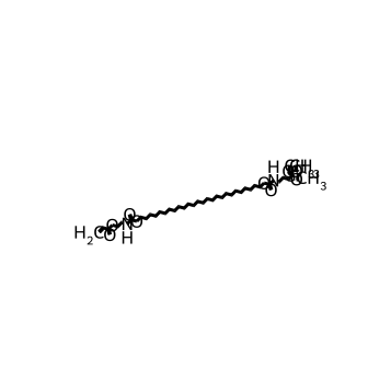 C=CC(=O)OCCNC(=O)OCCCCCCCCCCCCCCCCCCCCCCCCCCOC(=O)NCCC[Si](OC)(OC)OC